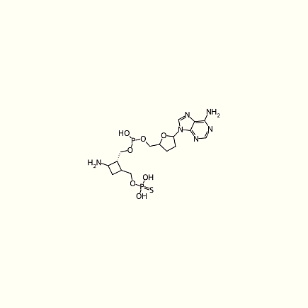 Nc1ncnc2c1ncn2C1CCC(COP(O)OC[C@H]2C(N)CC2COP(O)(O)=S)O1